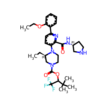 CCOc1ccccc1-c1ccc(N2CCN(C(=O)OC(C(C)(C)C)C(F)(F)F)C[C@H]2CC)c(C(=O)N[C@@H]2CCNC2)n1